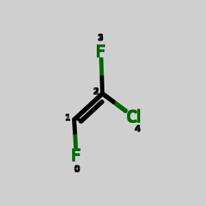 F/[C]=C(/F)Cl